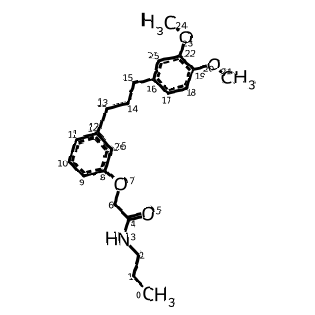 CCCNC(=O)COc1cccc(CCCc2ccc(OC)c(OC)c2)c1